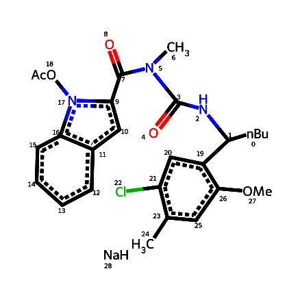 CCCCC(NC(=O)N(C)C(=O)c1cc2ccccc2n1OC(C)=O)c1cc(Cl)c(C)cc1OC.[NaH]